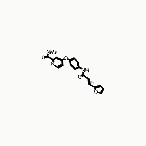 CNC(=O)c1cc(Oc2ccc(NC(=O)/C=C/c3ccco3)cc2)ccn1